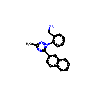 Cc1nc(-c2ccc3ccccc3c2)n(-c2ccccc2CN)n1